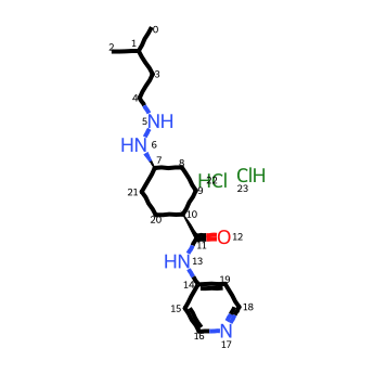 CC(C)CCNN[C@H]1CC[C@@H](C(=O)Nc2ccncc2)CC1.Cl.Cl